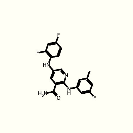 Cc1cc(F)cc(Nc2ncc(Nc3ccc(F)cc3F)cc2C(N)=O)c1